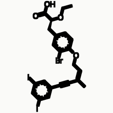 CCO[C@@H](Cc1ccc(OC/C=C(/C)C#Cc2cc(I)cc(I)c2)c(Br)c1)C(=O)O